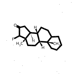 C[C@]12CCCCC1CC[C@@H]1[C@H]2CC[C@]2(C)C(F)C(=O)C[C@@H]12